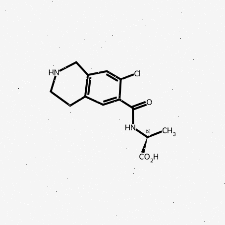 C[C@H](NC(=O)c1cc2c(cc1Cl)CNCC2)C(=O)O